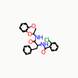 O=C(NC(Cc1ccccc1)C(=O)NC1COc2ccccc2O1)c1ccccc1Cl